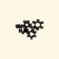 CC(C)(C)C1=C([SiH2]c2ccccc2CC2CCCCC2)CC=C1